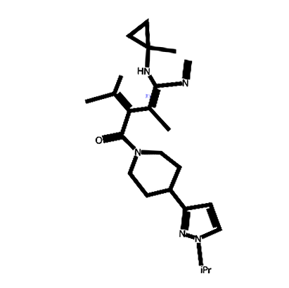 C=N/C(NC1(C)CC1)=C(\C)C(C(=O)N1CCC(c2ccn(C(C)C)n2)CC1)=C(C)C